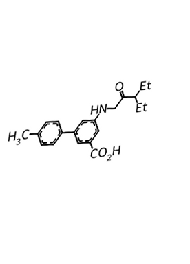 CCC(CC)C(=O)CNc1cc(C(=O)O)cc(-c2ccc(C)cc2)c1